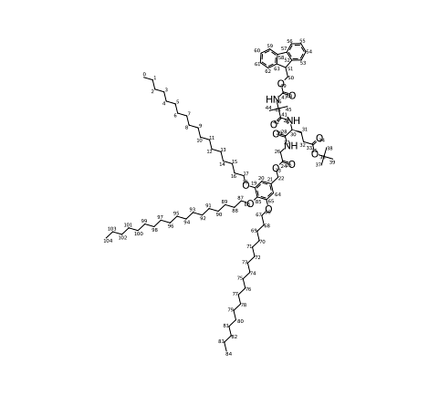 CCCCCCCCCCCCCCCCCCOc1cc(COC(=O)CNC(=O)[C@H](CCC(=O)OC(C)(C)C)NC(=O)C(C)(C)NC(=O)OCC2c3ccccc3-c3ccccc32)cc(OCCCCCCCCCCCCCCCCCC)c1OCCCCCCCCCCCCCCCCCC